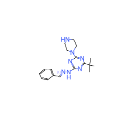 CC(C)(C)c1nc(N/N=C/c2ccccc2)nc(N2CCNCC2)n1